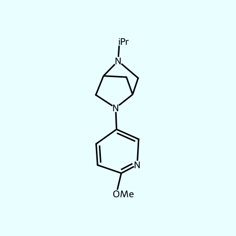 COc1ccc(N2CC3CC2CN3C(C)C)cn1